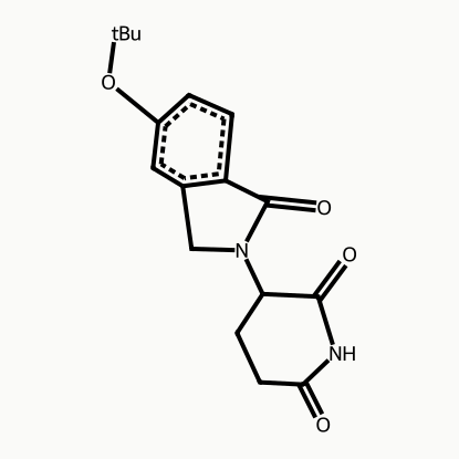 CC(C)(C)Oc1ccc2c(c1)CN(C1CCC(=O)NC1=O)C2=O